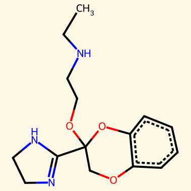 CCNCCOC1(C2=NCCN2)COc2ccccc2O1